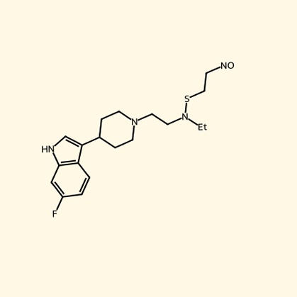 CCN(CCN1CCC(c2c[nH]c3cc(F)ccc23)CC1)SCCN=O